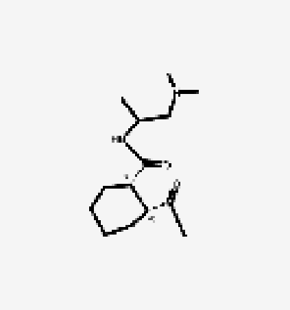 CC(=O)[C@@H]1CCCC[C@@H]1C(=O)NC(C)CN(C)C